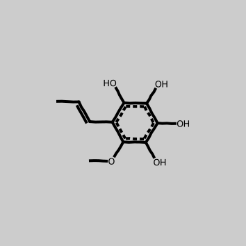 CC=Cc1c(O)c(O)c(O)c(O)c1OC